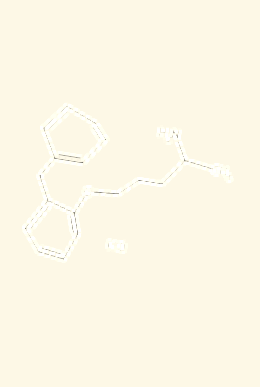 CC(N)CCCOc1ccccc1Cc1ccccc1.Cl